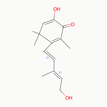 CC1=C(/C=C/C(C)=C/CO)C(C)(C)C=C(O)C1=O